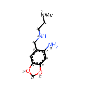 CNCCNCc1cc2c(cc1N)OCO2